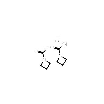 O.O=C(O)N1CCC1.O=C(O)N1CCC1